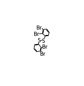 Brc1cccc(SSc2cccc(Br)c2Br)c1Br